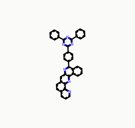 c1ccc(-c2nc(-c3ccccc3)nc(-c3ccc(-c4nc5cc6ccc7cccnc7c6nc5c5ccccc45)cc3)n2)cc1